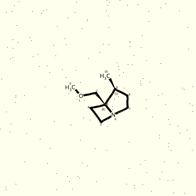 COC[C@]12CCN1CC[C@@H]2C